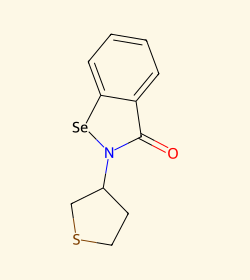 O=c1c2ccccc2[se]n1C1CCSC1